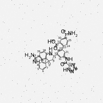 CC1(c2ccccc2)CC(c2cc(NC(=O)c3nnn[nH]3)cc(-c3ccc(C(N)=O)cc3C(=O)O)c2)Nc2ccc(C(=N)N)cc21